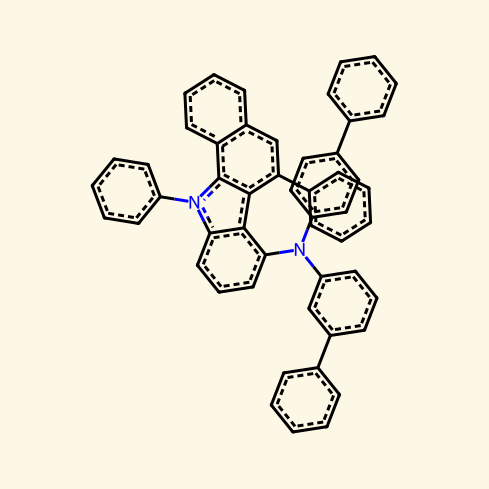 c1ccc(-c2ccc(N(c3cccc(-c4ccccc4)c3)c3cccc4c3c3c(-c5ccccc5)cc5ccccc5c3n4-c3ccccc3)cc2)cc1